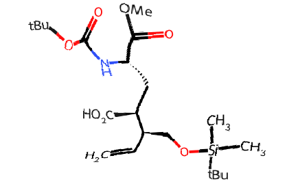 C=C[C@H](CO[Si](C)(C)C(C)(C)C)[C@H](C[C@H](NC(=O)OC(C)(C)C)C(=O)OC)C(=O)O